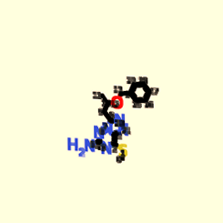 CSc1nc(N)nn2c(C[C@@H](C)OCc3ccccc3)nnc12